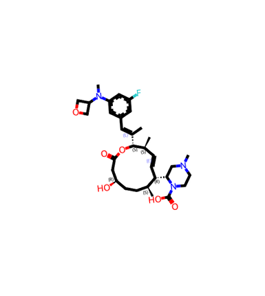 C/C(=C\c1cc(F)cc(N(C)C2COC2)c1)[C@H]1OC(=O)C[C@H](O)CC[C@H](C)[C@@H](C2CN(C)CCN2C(=O)O)/C=C/[C@@H]1C